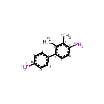 Cc1c(P)ccc(-c2ccc(P)cc2)c1C